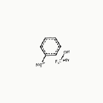 Br.OC(F)(F)F.[Mg+2][c]1ccccc1